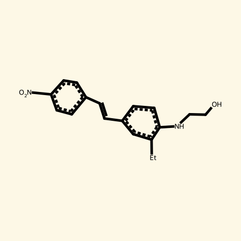 CCc1cc(C=Cc2ccc([N+](=O)[O-])cc2)ccc1NCCO